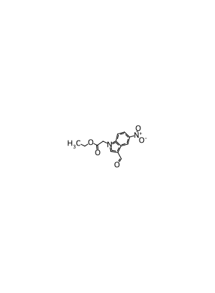 CCOC(=O)Cn1cc(C=O)c2cc([N+](=O)[O-])ccc21